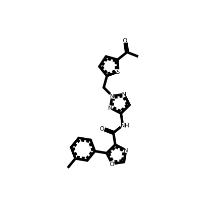 CC(=O)c1ccc(Cn2ncc(NC(=O)c3ncoc3-c3cccc(C)c3)n2)s1